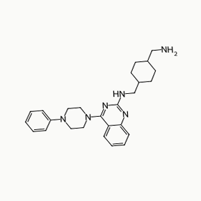 NCC1CCC(CNc2nc(N3CCN(c4ccccc4)CC3)c3ccccc3n2)CC1